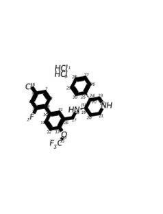 Cl.Cl.Fc1cc(Cl)ccc1-c1ccc(OC(F)(F)F)c(CN[C@H]2CCNC[C@H]2c2ccccc2)c1